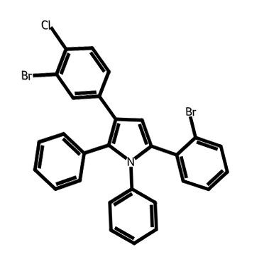 Clc1ccc(-c2cc(-c3ccccc3Br)n(-c3ccccc3)c2-c2ccccc2)cc1Br